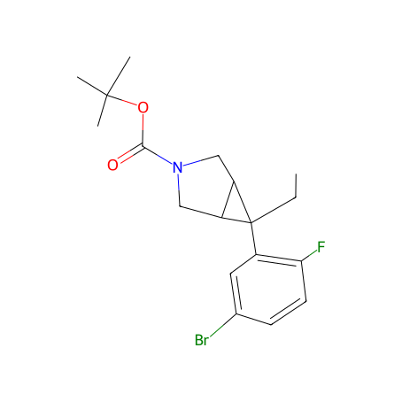 CCC1(c2cc(Br)ccc2F)C2CN(C(=O)OC(C)(C)C)CC21